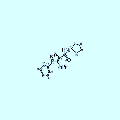 CCCc1c(C(=O)NC2CCCC2)cnn1-c1ccccc1